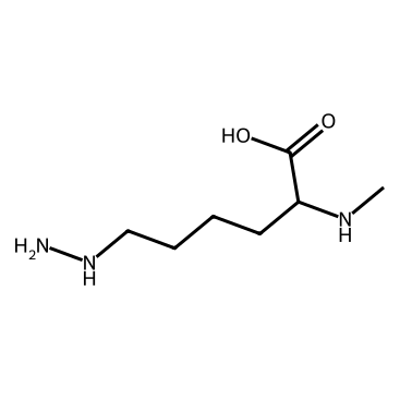 CNC(CCCCNN)C(=O)O